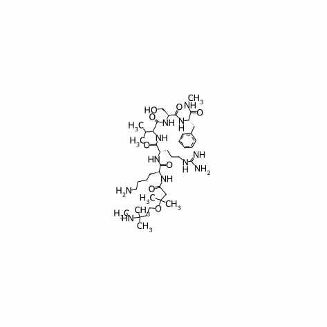 CNC(=O)[C@H](Cc1ccccc1)NC(=O)[C@H](CO)NC(=O)C(NC(=O)[C@H](CCCNC(=N)N)NC(=O)[C@H](CCCCN)NC(=O)CC(C)(C)OCCC(C)(C)NC)C(C)C